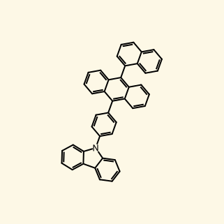 c1ccc2c(-c3c4ccccc4c(-c4ccc(-n5c6ccccc6c6ccccc65)cc4)c4ccccc34)cccc2c1